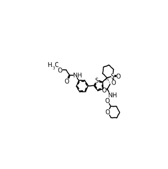 COCC(=O)Nc1cccc(-c2ccc([C@@]3(CC(=O)NOC4CCCCO4)CCCCS3(=O)=O)s2)c1